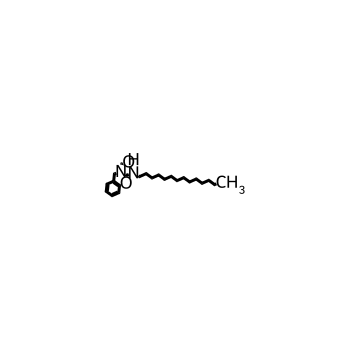 CCCCCCCCCCCCCCNC(=O)N(C=O)Cc1ccccc1